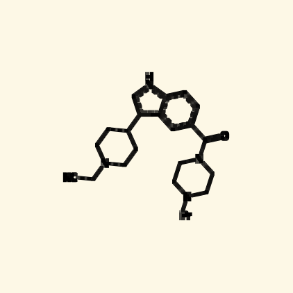 CC(C)N1CCN(C(=O)c2ccc3[nH]cc(C4CCN(CC#N)CC4)c3c2)CC1